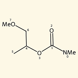 CNC(=O)OC(C)COC